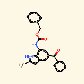 Cc1cc2cc(C(=O)c3ccccc3)cc(NC(=O)OCc3ccccc3)c2[nH]1